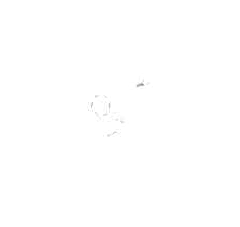 CCC(=O)Nc1ccccc1OCC#N